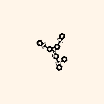 c1ccc(-n2c(-c3ccc(-n4c5ccc(-c6nc7ccccc7s6)cc5c5cc(-c6nc7ccccc7s6)ccc54)nc3)nc3ccccc32)cc1